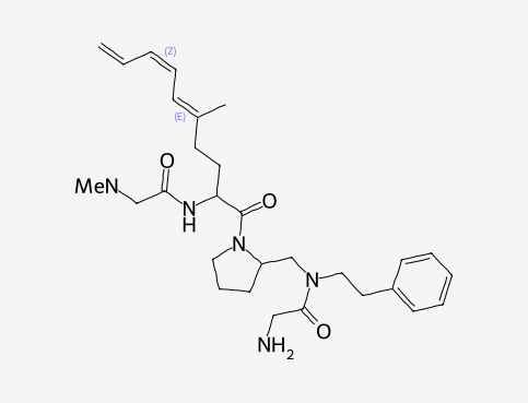 C=C/C=C\C=C(/C)CCC(NC(=O)CNC)C(=O)N1CCCC1CN(CCc1ccccc1)C(=O)CN